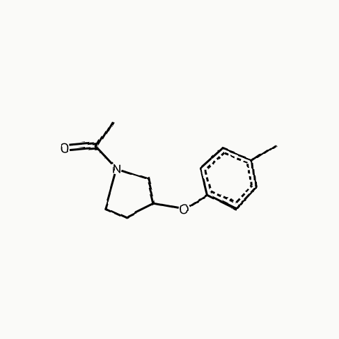 CC(=O)N1CCC(Oc2ccc(C)cc2)C1